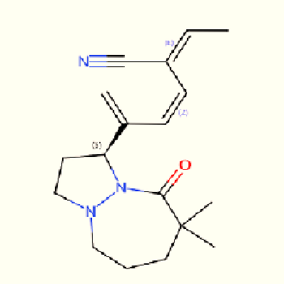 C=C(/C=C\C(C#N)=C/C)[C@@H]1CCN2CCCC(C)(C)C(=O)N12